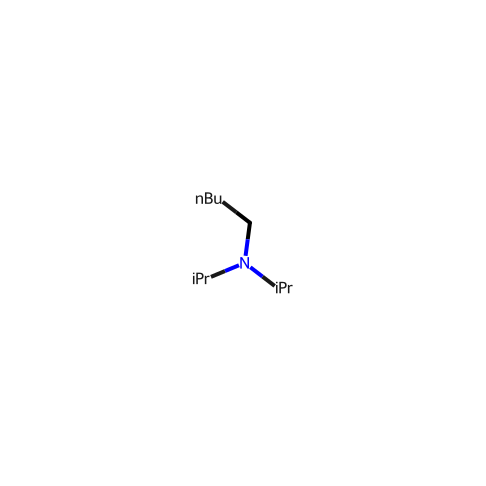 CC[CH]CCN(C(C)C)C(C)C